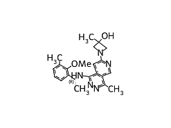 COc1c(C)cccc1[C@@H](C)Nc1nnc(C)c2cnc(N3CC(C)(O)C3)cc12